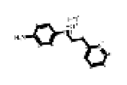 Cl.Cl.Nc1ccc(NCCc2ccccn2)cc1